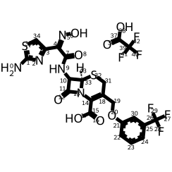 Nc1nc(/C(=N/O)C(=O)NC2C(=O)N3C(C(=O)O)=C(COc4cccc(C(F)(F)F)c4)CS[C@H]23)cs1.O=C(O)C(F)(F)F